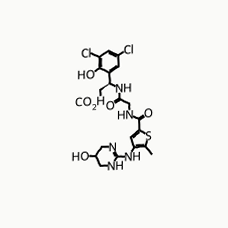 Cc1sc(C(=O)NCC(=O)N[C@@H](CC(=O)O)c2cc(Cl)cc(Cl)c2O)cc1NC1=NCC(O)CN1